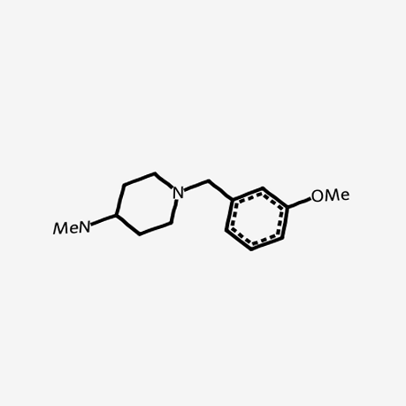 CNC1CCN(Cc2cccc(OC)c2)CC1